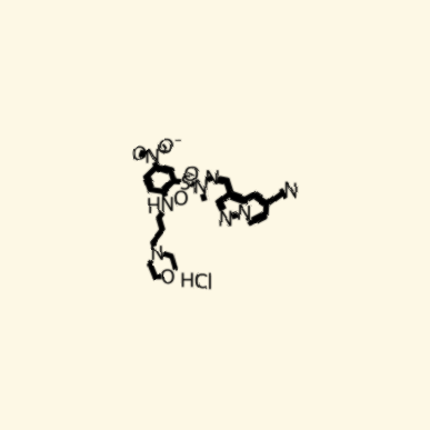 CN(/N=C\c1cnn2ccc(C#N)cc12)S(=O)(=O)c1cc([N+](=O)[O-])ccc1NCCCN1CCOCC1.Cl